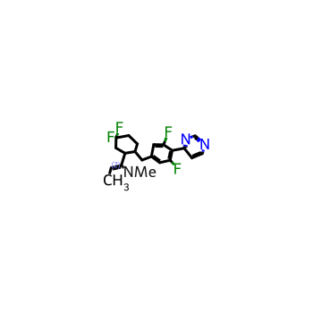 C/C=C(\NC)C1CC(F)(F)CCC1Cc1cc(F)c(-c2ccncn2)c(F)c1